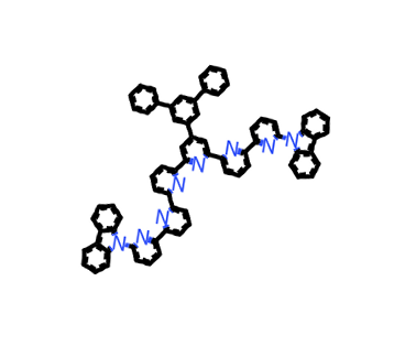 c1ccc(-c2cc(-c3ccccc3)cc(-c3cc(-c4cccc(-c5cccc(-c6cccc(-n7c8ccccc8c8ccccc87)n6)n5)n4)nc(-c4cccc(-c5cccc(-n6c7ccccc7c7ccccc76)n5)n4)c3)c2)cc1